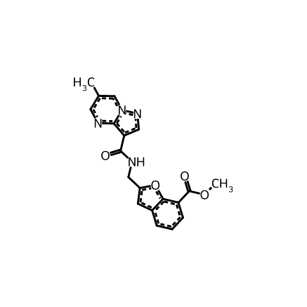 COC(=O)c1cccc2cc(CNC(=O)c3cnn4cc(C)cnc34)oc12